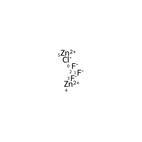 [Cl-].[F-].[F-].[F-].[Zn+2].[Zn+2]